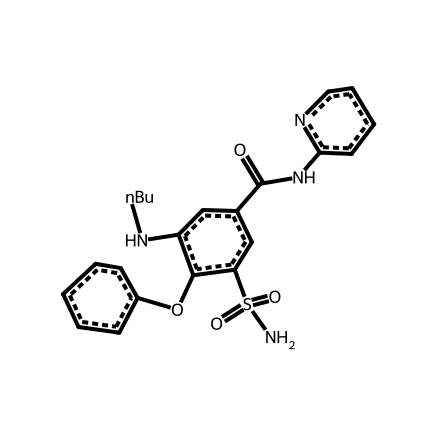 CCCCNc1cc(C(=O)Nc2ccccn2)cc(S(N)(=O)=O)c1Oc1ccccc1